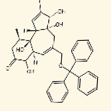 CC1=C[C@@H]2[C@](O)(CC(COC(c3ccccc3)(c3ccccc3)c3ccccc3)=C[C@H]3C(O)C(=O)C[C@@H](C)[C@]23O)[C@H]1O